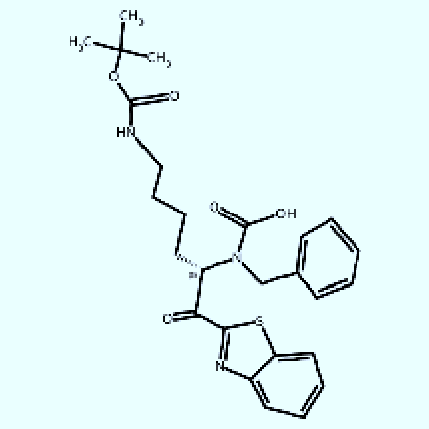 CC(C)(C)OC(=O)NCCCC[C@@H](C(=O)c1nc2ccccc2s1)N(Cc1ccccc1)C(=O)O